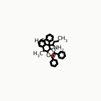 CCCC(N)C1(c2ccccc2C)c2ccccc2C(C)C(OC(=O)c2ccccc2)C1OC(=O)c1ccccc1